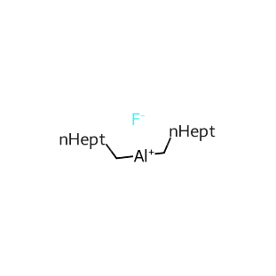 CCCCCCC[CH2][Al+][CH2]CCCCCCC.[F-]